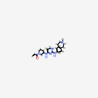 C=CC(=O)N1CCCC(Nc2nc(Nc3ccc4c(c3)CCN(C)CC4)ncc2F)C1